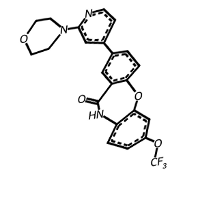 O=C1Nc2ccc(OC(F)(F)F)cc2Oc2ccc(-c3ccnc(N4CCOCC4)c3)cc21